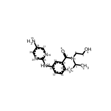 CC(C)N(CCO)C(=O)c1cccc(Nc2ncc(N)cn2)c1